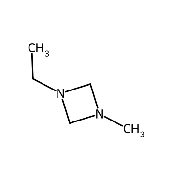 CCN1CN(C)C1